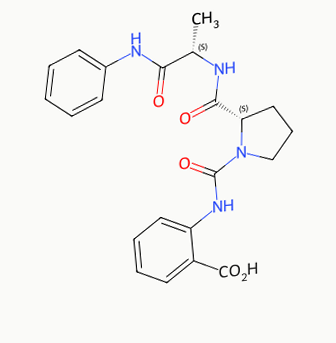 C[C@H](NC(=O)[C@@H]1CCCN1C(=O)Nc1ccccc1C(=O)O)C(=O)Nc1ccccc1